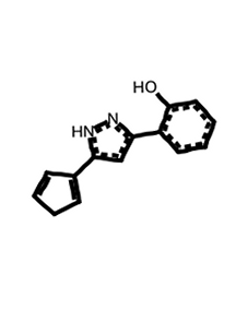 Oc1ccccc1-c1cc(C2=CCC=C2)[nH]n1